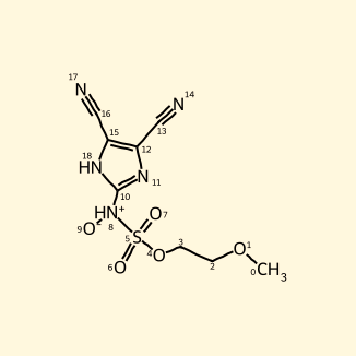 COCCOS(=O)(=O)[NH+]([O-])c1nc(C#N)c(C#N)[nH]1